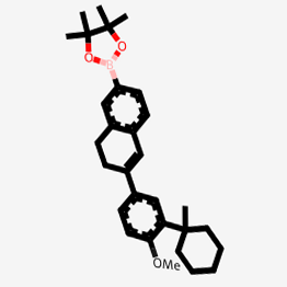 COc1ccc(C2=Cc3ccc(B4OC(C)(C)C(C)(C)O4)cc3CC2)cc1C1(C)CCCCC1